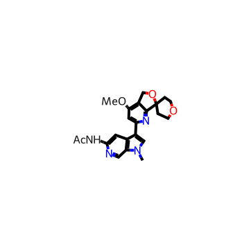 COc1cc(-c2cn(C)c3cnc(NC(C)=O)cc23)nc2c1COC21CCOCC1